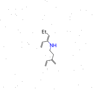 C=CC(=C)CCN/C(C=C)=C/CC